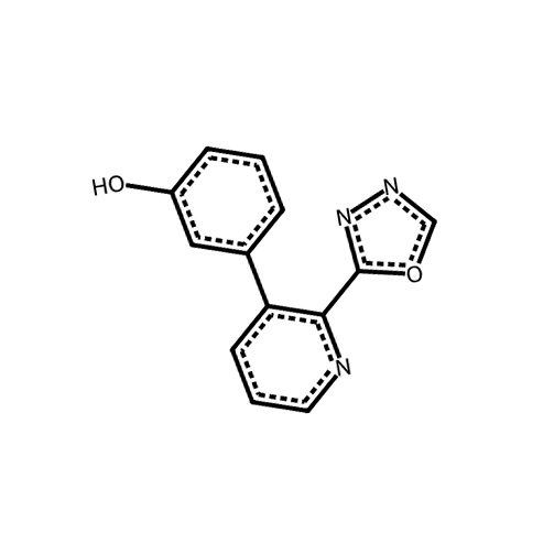 Oc1cccc(-c2cccnc2-c2nnco2)c1